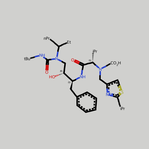 CCCC(CC)N(C[C@@H](O)[C@H](Cc1ccccc1)NC(=O)[C@H](C(C)C)N(Cc1csc(C(C)C)n1)C(=O)O)C(=O)NC(C)(C)C